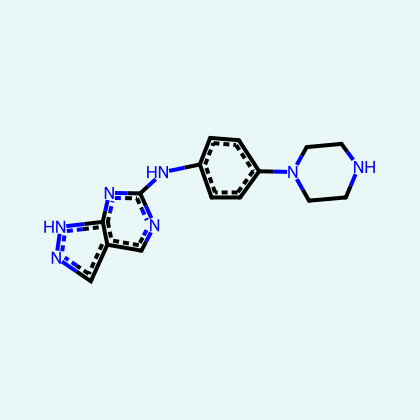 c1cc(N2CCNCC2)ccc1Nc1ncc2cn[nH]c2n1